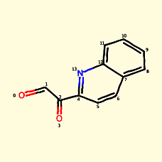 O=CC(=O)c1ccc2ccccc2n1